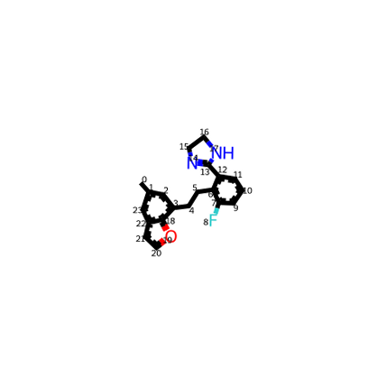 Cc1cc(CCc2c(F)cccc2C2=NCCN2)c2occc2c1